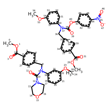 COC(=O)c1ccc(CN(C(=O)N2CCOCC2)c2cccc(OC)c2)cc1.COC(=O)c1ccc(CN(C(=O)Oc2ccc([N+](=O)[O-])cc2)c2cccc(OC)c2)cc1